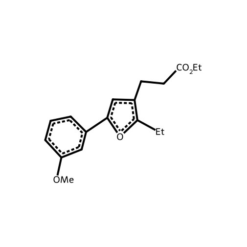 CCOC(=O)CCc1cc(-c2cccc(OC)c2)oc1CC